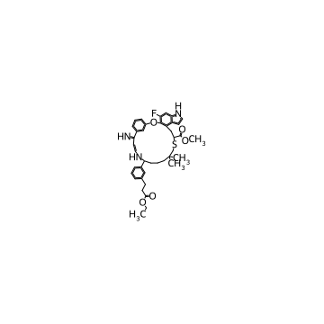 CCOC(=O)CCc1cccc(C2CCCC(C)(C)CSC(C(=O)OC)Cc3c(c(F)cc4[nH]ccc34)Oc3cccc(c3)C(=N)/C=C\N2)c1